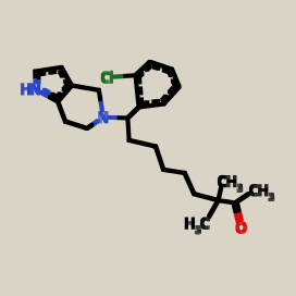 CC(=O)C(C)(C)CCCCCC(c1ccccc1Cl)N1CCc2[nH]ccc2C1